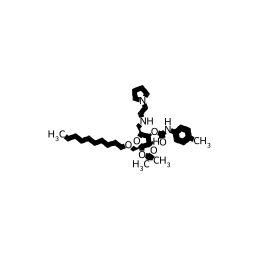 CCCCCCCCCCOC[C@@]12O[C@@H](CNCCN3CCCC3)[C@@H](OC(=O)Nc3ccc(C)cc3)[C@@H]1OC(C)(C)O2